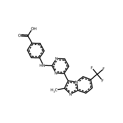 Cc1nc2ccc(C(F)(F)F)cn2c1-c1ccnc(Nc2ccc(C(=O)O)cc2)n1